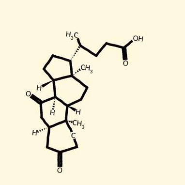 CC(CCC(=O)O)[C@H]1CC[C@H]2[C@@H]3C(=O)C[C@@H]4CC(=O)CC[C@]4(C)[C@H]3CC[C@]12C